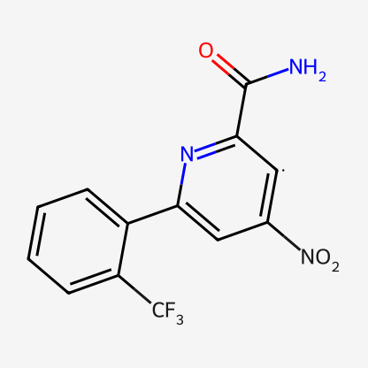 NC(=O)c1[c]c([N+](=O)[O-])cc(-c2ccccc2C(F)(F)F)n1